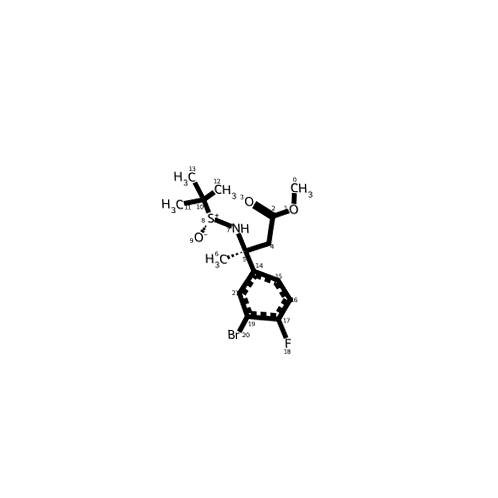 COC(=O)C[C@](C)(N[S@+]([O-])C(C)(C)C)c1ccc(F)c(Br)c1